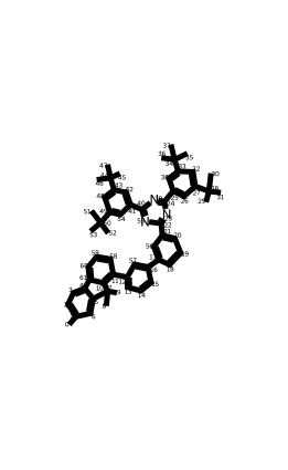 Cc1ccc2c(c1)C(C)(C)c1c(-c3cccc(-c4cccc(-c5nc(-c6cc(C(C)(C)C)cc(C(C)(C)C)c6)nc(-c6cc(C(C)(C)C)cc(C(C)(C)C)c6)n5)c4)c3)cccc1-2